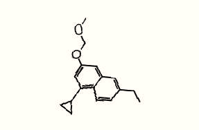 CCc1ccc2c(C3CC3)cc(OCOC)cc2c1